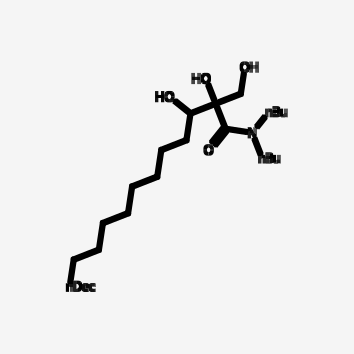 CCCCCCCCCCCCCCCCCCC(O)C(O)(CO)C(=O)N(CCCC)CCCC